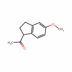 COc1ccc2c(c1)CCC2C(C)=O